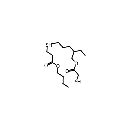 CCCCC(CC)COC(=O)CS.CCCCOC(=O)CCS